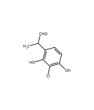 CC(C=O)c1ccc(O)c(Cl)c1O